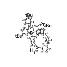 CC(C)c1cc2c3c(c1)N1c4cc5c(cc4B3c3cc(C(C)(C)C)ccc3N2c2ccc(C(C)(C)C)cc2)CC(C)(C5)c2cccc(c2)-c2ccc(cc2)-c2cc(C(C)(C)C)ccc21